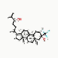 CC(C)[C@H](O)CC[C@H](C)[C@@H]1CC[C@H]2[C@@H]3CC[C@H]4C[C@](O)(C(F)(F)F)CC[C@]4(C)[C@H]3CC[C@@]21C